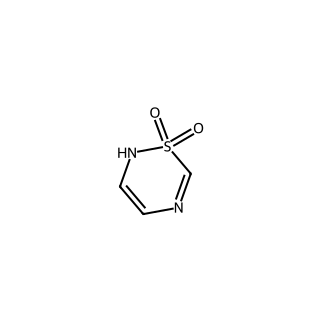 O=S1(=O)C=NC=CN1